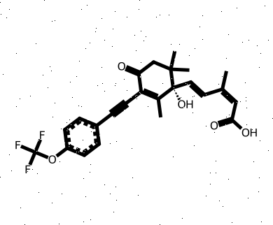 CC1=C(C#Cc2ccc(OC(F)(F)F)cc2)C(=O)CC(C)(C)[C@@]1(O)/C=C/C(C)=C\C(=O)O